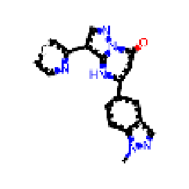 Cn1ncc2cc(-c3cc(=O)n4ncc(-c5ccccn5)c4[nH]3)ccc21